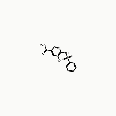 COC(=O)c1cnc(NS(=O)(=O)c2ccccc2)c(O)c1